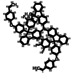 C=Cc1ccc(Oc2ccc(C3(c4cc(F)c(F)c(F)c4)c4ccccc4-c4ccc(N(c5ccc6c(c5)C(C)(C)c5ccccc5-6)c5ccc6c(c5)C(c5ccc(Oc7ccc(C=C)cc7)cc5)(c5cc(F)c(F)c(F)c5)c5ccccc5-6)cc43)cc2)cc1